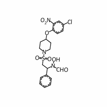 O=CN(O)C(CS(=O)(=O)N1CCC(Oc2ccc(Cl)cc2[N+](=O)[O-])CC1)c1ccccc1